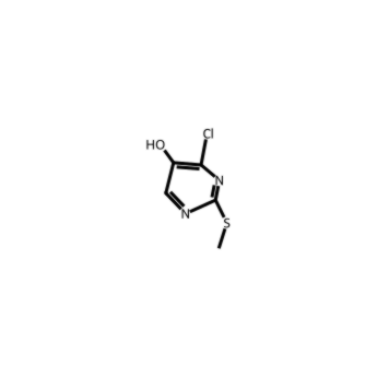 CSc1ncc(O)c(Cl)n1